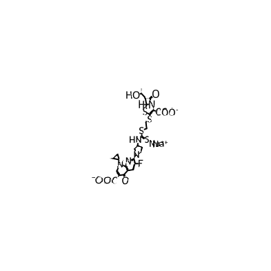 C[C@@H](O)[C@@H]1C(=O)N2C(C(=O)[O-])=C(SCCSC(=S)NC3CCN(c4nc5c(cc4F)c(=O)c(C(=O)[O-])cn5C4CC4)C3)S[C@H]12.[Na+].[Na+]